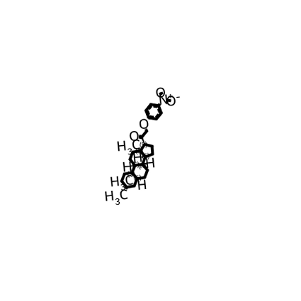 CC1CC[C@@]2(C)[C@@H](CC[C@@H]3[C@@H]2CC[C@]2(C)[C@@H](C(=O)COc4ccc([N+](=O)[O-])cc4)CC[C@@H]32)C1